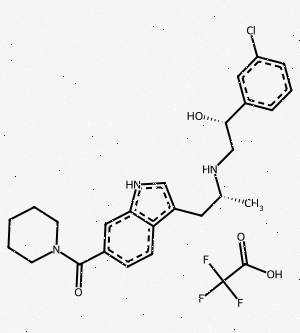 C[C@H](Cc1c[nH]c2cc(C(=O)N3CCCCC3)ccc12)NC[C@H](O)c1cccc(Cl)c1.O=C(O)C(F)(F)F